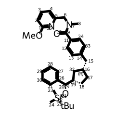 COc1cccc(CN(C)C(=O)c2ccc(C[C@@H]3CC[C@H]([C@H](O[Si](C)(C)C(C)(C)C)c4ccccc4)C3)cc2)n1